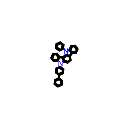 C1=c2c(c3ccccc3n2-c2ccc(-c3ccccc3)cc2)=C2C(C1)c1ccccc1N2c1ccccc1